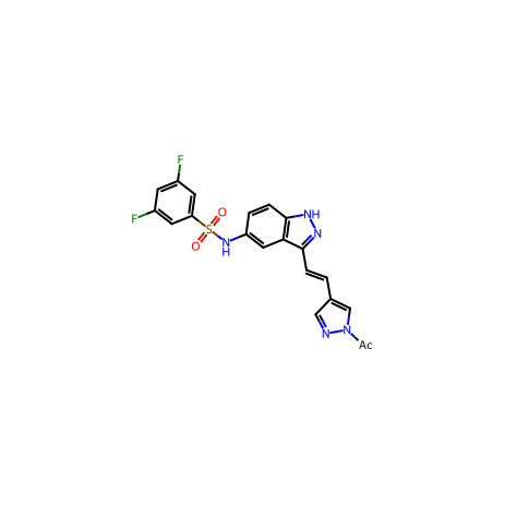 CC(=O)n1cc(C=Cc2n[nH]c3ccc(NS(=O)(=O)c4cc(F)cc(F)c4)cc23)cn1